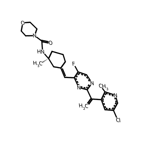 C=C(c1ncc(F)c(/C=C2\CCC[C@](C)(NC(=O)N3CCOCC3)C2)n1)c1cc(Cl)cnc1C